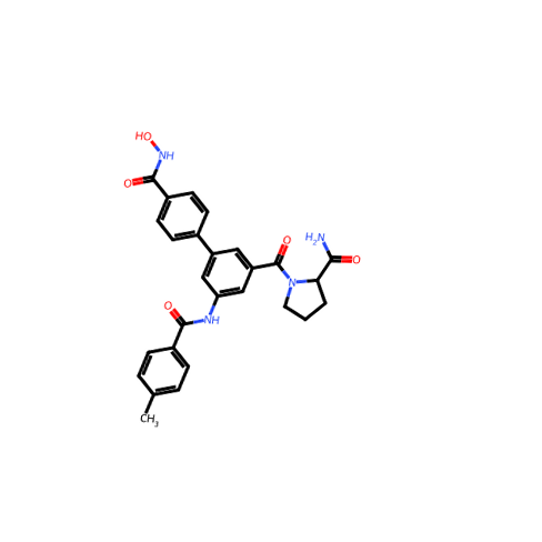 Cc1ccc(C(=O)Nc2cc(C(=O)N3CCCC3C(N)=O)cc(-c3ccc(C(=O)NO)cc3)c2)cc1